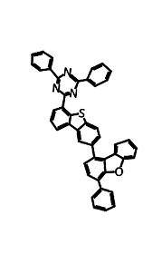 c1ccc(-c2nc(-c3ccccc3)nc(-c3cccc4c3sc3ccc(-c5ccc(-c6ccccc6)c6oc7ccccc7c56)cc34)n2)cc1